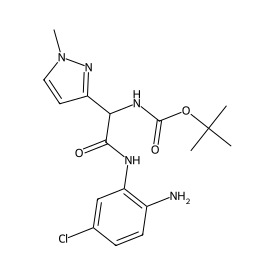 Cn1ccc(C(NC(=O)OC(C)(C)C)C(=O)Nc2cc(Cl)ccc2N)n1